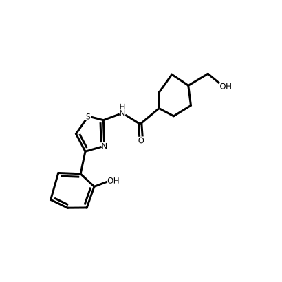 O=C(Nc1nc(-c2ccccc2O)cs1)C1CCC(CO)CC1